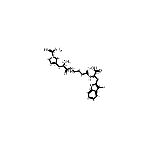 Cc1c(CC(NC(=O)CCCNC(=O)C(N)CC2=CCN(C(=N)N)C2)C(=O)O)oc2ccccc12